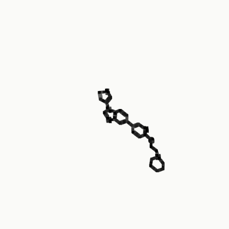 c1cc(-n2cnc3cc(-c4ccc(OCCN5CCCCC5)nc4)ccc32)cs1